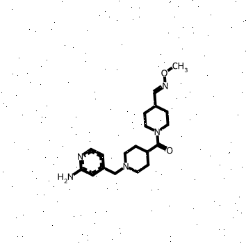 CON=CC1CCN(C(=O)C2CCN(Cc3ccnc(N)c3)CC2)CC1